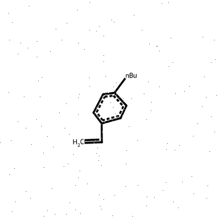 C=Cc1ccc(CCCC)cc1